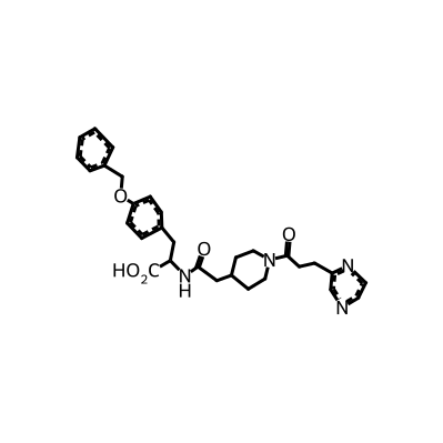 O=C(CC1CCN(C(=O)CCc2cnccn2)CC1)NC(Cc1ccc(OCc2ccccc2)cc1)C(=O)O